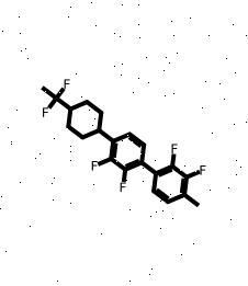 Cc1ccc(-c2ccc(C3CCC(C(C)(F)F)CC3)c(F)c2F)c(F)c1F